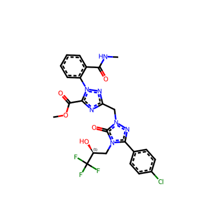 CNC(=O)c1ccccc1-n1nc(Cn2nc(-c3ccc(Cl)cc3)n(C[C@H](O)C(F)(F)F)c2=O)nc1C(=O)OC